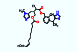 CCCCCCCC/C=C\CCCCCCCC(=O)OCC(Cc1cncn1C)C(CC)C(=O)OCc1cccc([C@H](C)c2c[nH]cn2)c1C